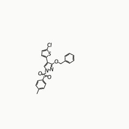 Cc1ccc(S(=O)(=O)n2cc(-c3ccc(Cl)s3)c(OCc3ccccc3)n2)cc1